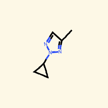 Cc1cnn(C2CC2)n1